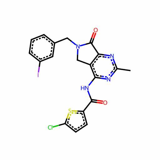 Cc1nc(NC(=O)c2ccc(Cl)s2)c2c(n1)C(=O)N(Cc1cccc(I)c1)C2